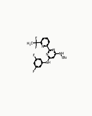 CC(C)(C)Nc1cc(Nc2cc(F)cc(F)c2)nc(-c2cccc(C(C)(F)F)n2)n1